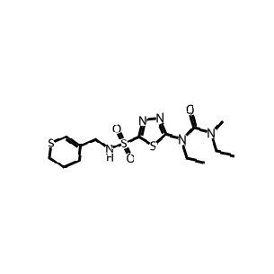 CCN(C)C(=O)N(CC)c1nnc(S(=O)(=O)NCC2=CSCCC2)s1